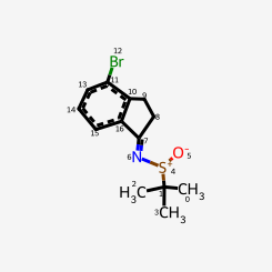 CC(C)(C)[S+]([O-])N=C1CCc2c(Br)cccc21